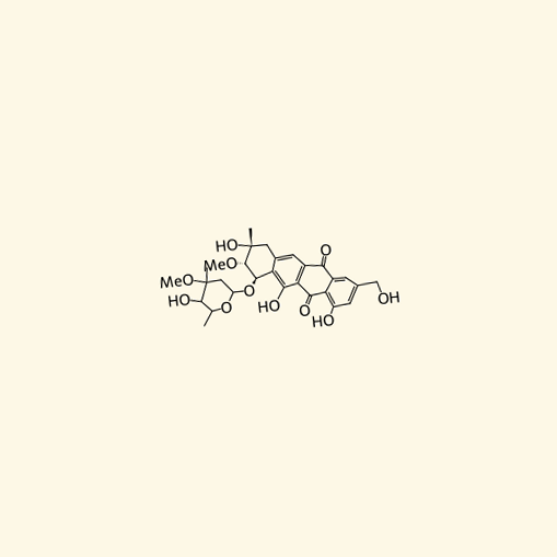 CO[C@H]1[C@H](OC2CC(C)(OC)C(O)C(C)O2)c2c(cc3c(c2O)C(=O)c2c(O)cc(CO)cc2C3=O)C[C@@]1(C)O